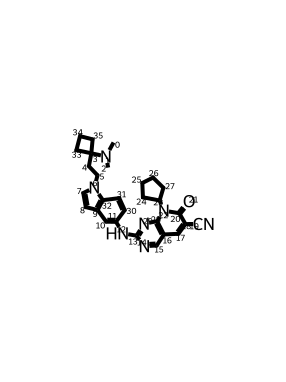 CN(C)C1(CCn2ccc3cc(Nc4ncc5cc(C#N)c(=O)n(C6CCCC6)c5n4)ccc32)CCC1